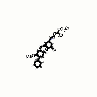 CCOC(=O)C(CC)O/N=C/c1cc(Br)c(Oc2ccc(OC)c(-c3ccccc3)c2)c(Br)c1